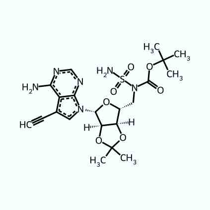 C#Cc1cn([C@@H]2O[C@H](CN(C(=O)OC(C)(C)C)S(N)(=O)=O)[C@H]3OC(C)(C)O[C@H]32)c2ncnc(N)c12